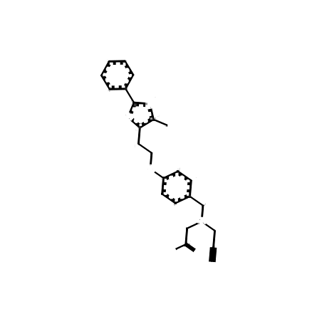 C#CCN(CC(=O)O)Cc1ccc(OCCc2nc(-c3ccccc3)oc2C)cc1